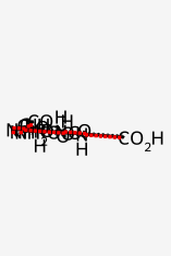 N[C@@H](Cc1cnc[nH]1)C(=O)C[C@@H](CCCCNC(=O)COCCOCCNC(=O)COCCOCCNC(=O)CCCCCCCCCCCCCCCCC(=O)O)C(=O)NCC(=O)O